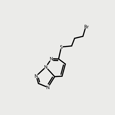 BrCCCSc1ccc2ncnn2n1